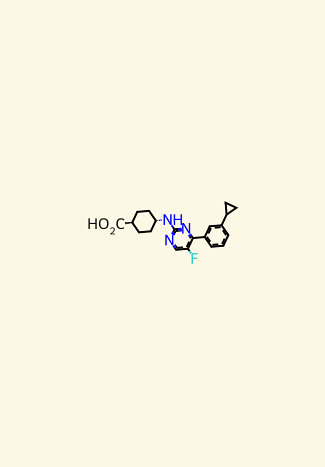 O=C(O)[C@H]1CC[C@H](Nc2ncc(F)c(-c3cccc(C4CC4)c3)n2)CC1